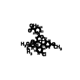 COc1ccc(C2OC(CC(=O)N3CCCC(C(=O)O)C3)C(=O)N(CC(C)(C)C)c3ccc(Cl)cc32)c(Cl)c1